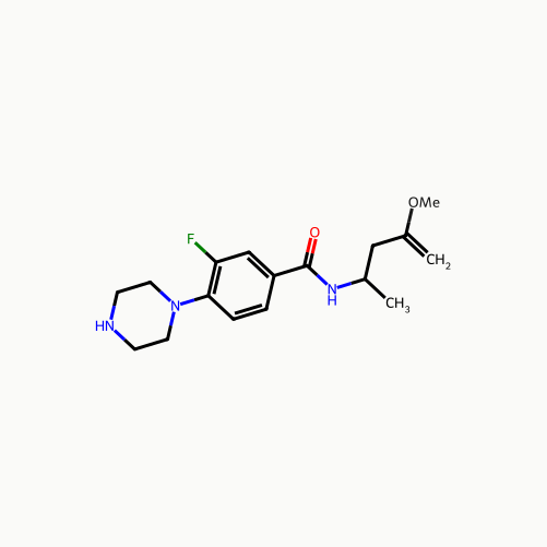 C=C(CC(C)NC(=O)c1ccc(N2CCNCC2)c(F)c1)OC